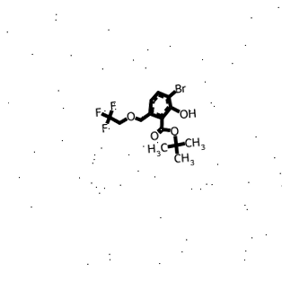 CC(C)(C)OC(=O)c1c(COCC(F)(F)F)ccc(Br)c1O